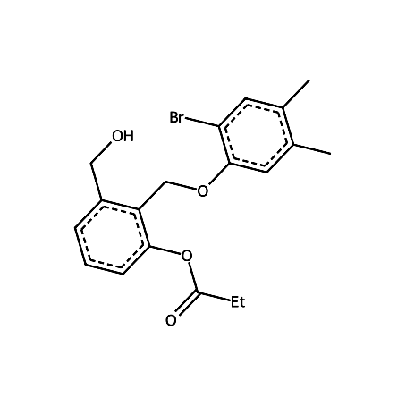 CCC(=O)Oc1cccc(CO)c1COc1cc(C)c(C)cc1Br